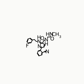 CNC(=O)CNC(=O)c1ccc(-c2ccccc2C#N)nc1NCCc1cccc(F)c1